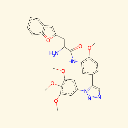 COc1ccc(-c2cnnn2-c2cc(OC)c(OC)c(OC)c2)cc1NC(=O)C(N)Cc1cc2ccccc2o1